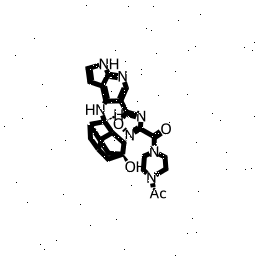 CC(=O)N1CCN(C(=O)c2noc(-c3cnc4[nH]ccc4c3N[C@H]3C4CC5CC3C[C@@](O)(C5)C4)n2)CC1